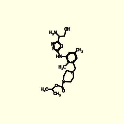 Cc1cc(CN2CCN(C(=O)OC(C)C)CC2)c(C)c(Nc2nnc(C(N)CO)o2)c1